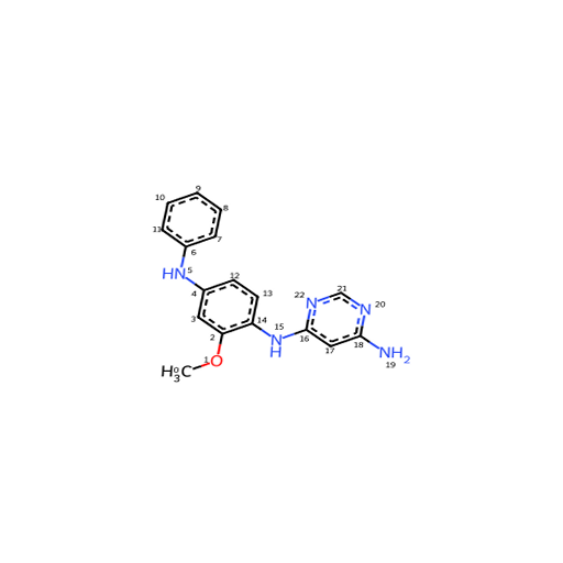 COc1cc(Nc2ccccc2)ccc1Nc1cc(N)ncn1